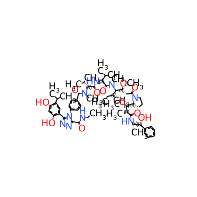 CCNC(=O)c1nnc(-c2cc(C(C)C)c(O)cc2O)n1-c1ccc(C(=O)N(C)[C@@H](C(=O)N[C@H](C(=O)N(C)C([C@@H](C)CC)[C@@H](CC(=O)N2CCC[C@@H]2[C@@H](OC)[C@@H](C)C(=O)N[C@@H](C)[C@H](O)c2ccccc2)OC)C(C)C)C(C)C)cc1